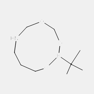 CC(C)(C)B1OCCCNCOCO1